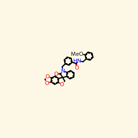 COc1ccccc1CNC(=O)c1cccc(CN2C(=O)C3(COc4cc5c(cc43)OCO5)c3ccccc32)c1